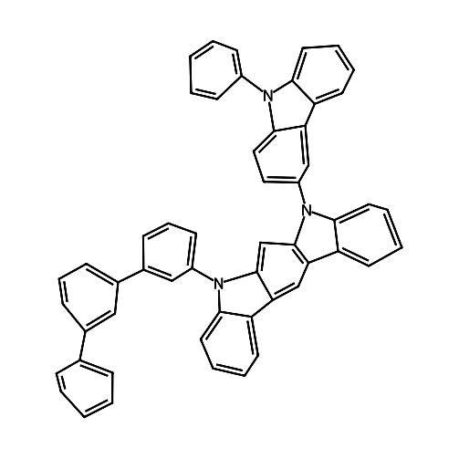 c1ccc(-c2cccc(-c3cccc(-n4c5ccccc5c5cc6c7ccccc7n(-c7ccc8c(c7)c7ccccc7n8-c7ccccc7)c6cc54)c3)c2)cc1